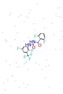 O=C(NC(=O)c1c(F)cccc1F)Nc1cc(F)cc(C(F)(F)F)c1F